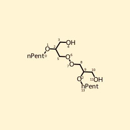 CCCCCOC(CO)COOCC(CO)OCCCCC